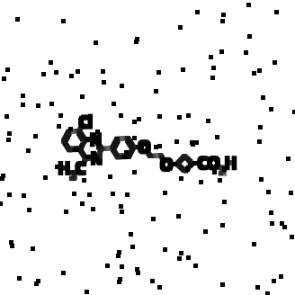 Cc1nc(-c2ccc(OCCOC3CC(C(=O)O)C3)cc2)nc2c(Cl)cccc12